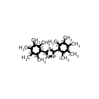 Cc1c(C)c(C)c(-c2nnc(-c3c(C)c(C)c(C)c(C)c3C)s2)c(C)c1C